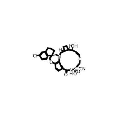 N#C[C@H]1CC/C=C\[C@H](O)[C@@H]2CC[C@H]2CN2C[C@@]3(CCCc4cc(Cl)ccc43)COc3ccc(cc32)C(=O)NS1(=O)=O